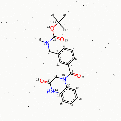 CN(Cc1cccc(C(=O)N2CC(=O)Nc3ccccc32)c1)C(=O)OC(C)(C)C